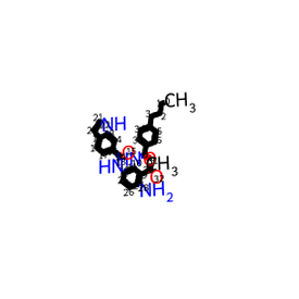 CCCCc1ccc(C(=O)Nc2c(NC(=O)c3ccc4cc[nH]c4c3)ccc(N)c2C(C)=O)cc1